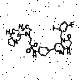 CC[C@@H](CN1CCCC1)N(CC)CCS(=O)(=O)Nc1ccc(-c2cnc3c(c2)N(Cc2cc(F)ccc2F)C(=O)CN3)cc1